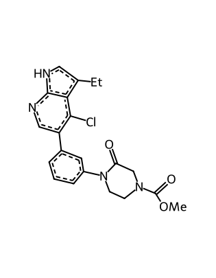 CCc1c[nH]c2ncc(-c3cccc(N4CCN(C(=O)OC)CC4=O)c3)c(Cl)c12